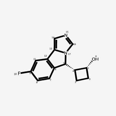 O[C@@H]1CC[C@@H]1C1c2ccc(F)cc2-c2cncn21